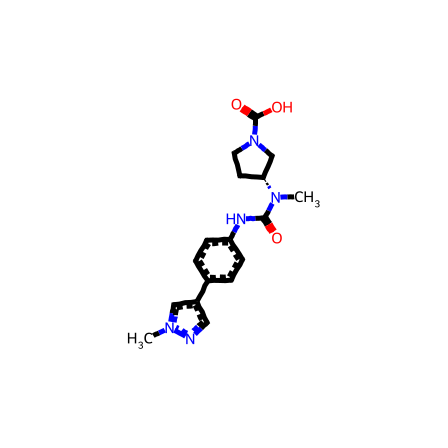 CN(C(=O)Nc1ccc(-c2cnn(C)c2)cc1)[C@@H]1CCN(C(=O)O)C1